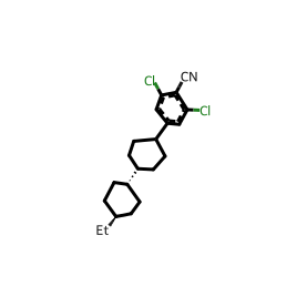 CC[C@H]1CC[C@H](C2CCC(c3cc(Cl)c(C#N)c(Cl)c3)CC2)CC1